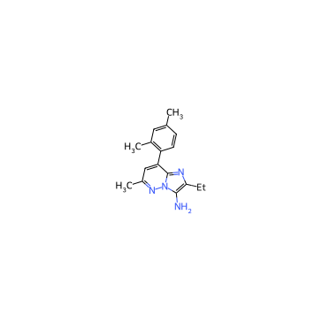 CCc1nc2c(-c3ccc(C)cc3C)cc(C)nn2c1N